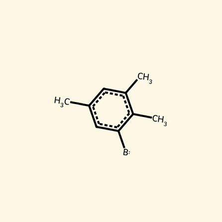 [B]c1cc(C)cc(C)c1C